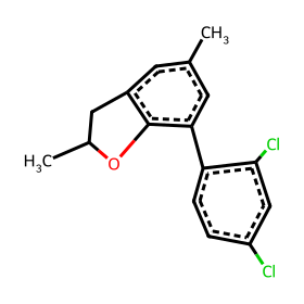 Cc1cc2c(c(-c3ccc(Cl)cc3Cl)c1)OC(C)C2